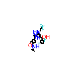 Cc1cc(-c2cnc3c(NCCC(F)(F)F)cc(C(O)c4cc(F)ccc4F)nn23)ccc1C(=O)NC1CC1